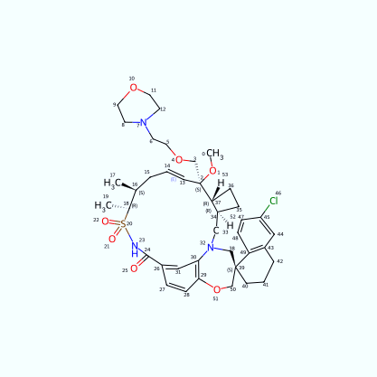 CO[C@]1(COCCN2CCOCC2)/C=C/C[C@H](C)[C@@H](C)S(=O)(=O)NC(=O)c2ccc3c(c2)N(C[C@@H]2CC[C@H]21)C[C@@]1(CCCc2cc(Cl)ccc21)CO3